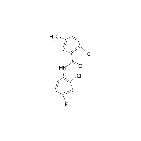 Cc1ccc(Cl)c(C(=O)Nc2ccc(F)cc2Cl)c1